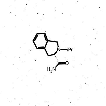 CC(C)N1Cc2ccccc2C[C@H]1C(N)=O